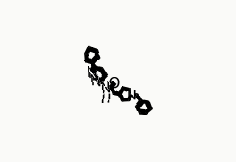 O=C(CC1CCN(Cc2ccccc2)CC1)Nc1ccc(-c2ccccc2)nn1